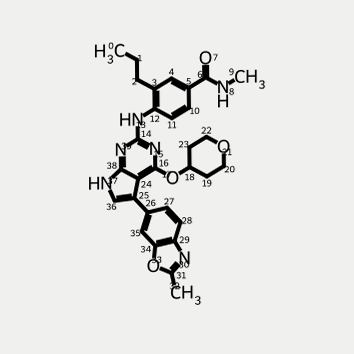 CCCc1cc(C(=O)NC)ccc1Nc1nc(OC2CCOCC2)c2c(-c3ccc4nc(C)oc4c3)c[nH]c2n1